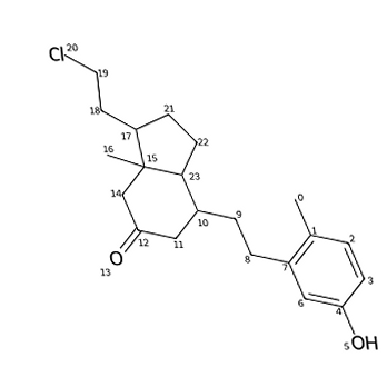 Cc1ccc(O)cc1CCC1CC(=O)CC2(C)C(CCCl)CCC12